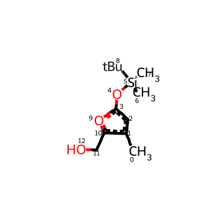 Cc1cc(O[Si](C)(C)C(C)(C)C)oc1CO